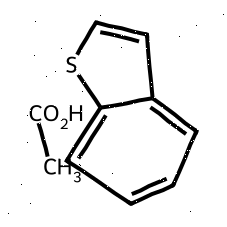 CC(=O)O.c1ccc2sccc2c1